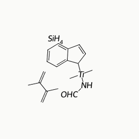 C=C(C)C(=C)C.[CH3][Ti]([CH3])([NH]C=O)[CH]1C=Cc2ccccc21.[SiH4]